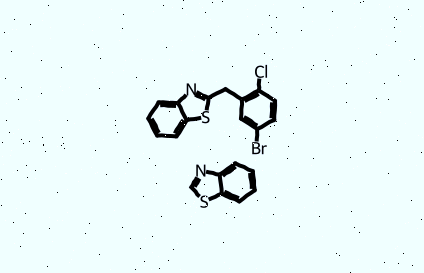 Clc1ccc(Br)cc1Cc1nc2ccccc2s1.c1ccc2scnc2c1